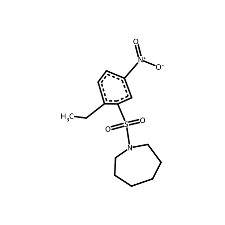 CCc1ccc([N+](=O)[O-])cc1S(=O)(=O)N1CCCCCC1